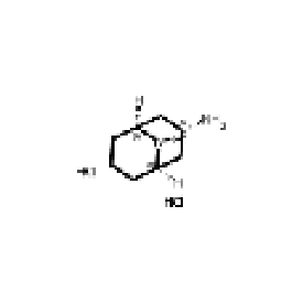 CC(C)N1[C@@H]2CCC[C@H]1C[C@H](N)C2.Cl.Cl